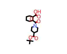 CC(C)(C)OC(=O)C1CCN(C(=O)C2C3CCC(O3)C2C(=O)O)CC1